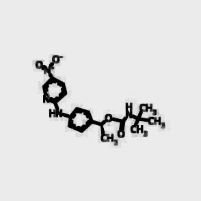 C[C@H](OC(=O)NC(C)(C)C)c1ccc(Nc2ccc([N+](=O)[O-])cn2)cc1